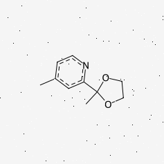 Cc1ccnc(C2(C)OCCO2)c1